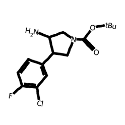 CC(C)(C)OC(=O)N1CC(N)C(c2ccc(F)c(Cl)c2)C1